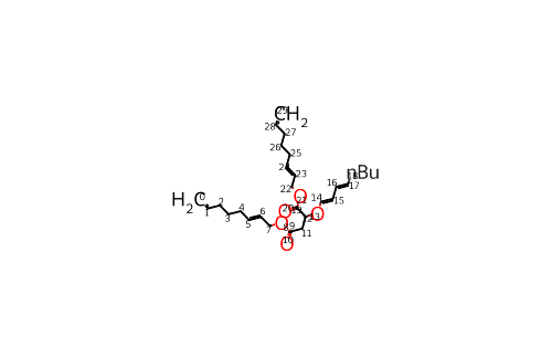 C=CCCCC=CCOC(=O)CC(OC=CC=CCCCC)C(=O)OCC=CCCCC=C